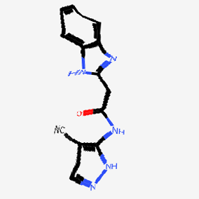 N#Cc1cn[nH]c1NC(=O)Cc1nc2ccccc2[nH]1